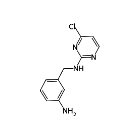 Nc1cccc(CNc2nccc(Cl)n2)c1